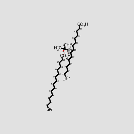 CC(C)C(C)(C)O.CC(C)CCCCCCCCCCCCCCC(=O)O.CC(C)CCCCCCCCCCCCCCC(=O)O